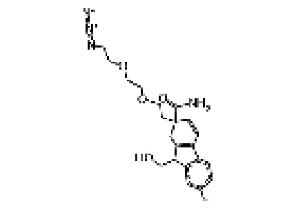 [N-]=[N+]=NCCOCCOCCC1(C(N)=O)C=CC2=C(C1)C(CO)c1cc(F)ccc12